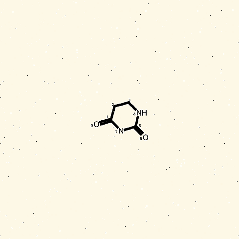 O=C1CCNC(=O)[N]1